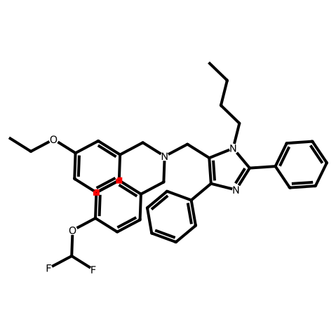 CCCCn1c(-c2ccccc2)nc(-c2ccccc2)c1CN(Cc1ccc(OC(F)F)cc1)Cc1cccc(OCC)c1